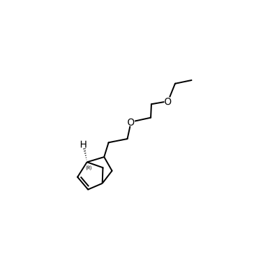 CCOCCOCCC1CC2C=C[C@@H]1C2